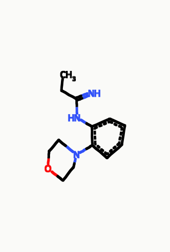 CCC(=N)Nc1ccccc1N1CCOCC1